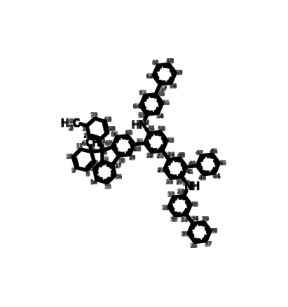 CC1C=C(C2(C3(C)C=CC=CC3)c3ccccc3-c3cc(-c4cc(-c5ccc(Nc6cccc(-c7ccccc7)c6)c(-c6ccccc6)c5)ccc4Nc4ccc(-c5ccccc5)cc4)ccc32)C=CC1